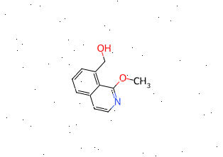 COc1nccc2cccc(CO)c12